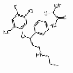 N#Cc1cc(F)c(Cl)cc1O[C@H](CCNCCF)c1ccccc1.O=C(O)C(=O)O